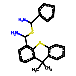 CC1(C)c2ccccc2Sc2c(C(N)SC(N)c3ccccc3)cccc21